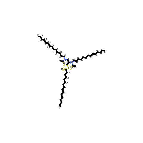 CCCCCCCCCCCCCCCC(=S)SCC(CN(CCCCCCCCCCCCCC)C(C)=S)N(CCCCCCCCCCCCCC)C(C)=S